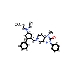 CCCN(C(=O)Nc1ccccc1)C1CCN(CC2CC(N(CC(=O)O)CC(C)C)CC2c2ccccc2)CC1